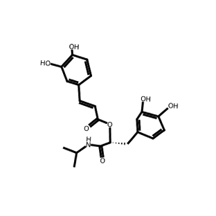 CC(C)NC(=O)[C@@H](Cc1ccc(O)c(O)c1)OC(=O)C=Cc1ccc(O)c(O)c1